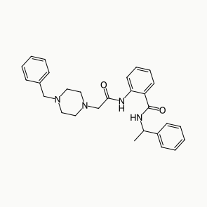 CC(NC(=O)c1ccccc1NC(=O)CN1CCN(Cc2ccccc2)CC1)c1ccccc1